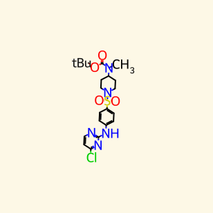 CN(C(=O)OC(C)(C)C)C1CCN(S(=O)(=O)c2ccc(Nc3nccc(Cl)n3)cc2)CC1